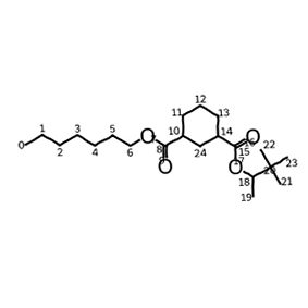 CCCCCCCOC(=O)C1CCCC(C(=O)OC(C)C(C)(C)C)C1